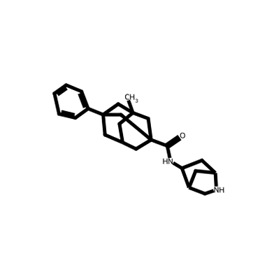 CC12CC3CC(C(=O)NC4CC5CC4CN5)(C1)CC(c1ccccc1)(C3)C2